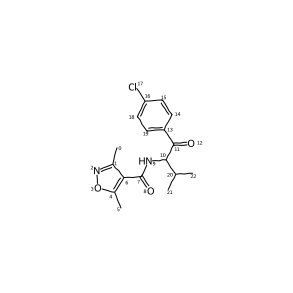 Cc1noc(C)c1C(=O)NC(C(=O)c1ccc(Cl)cc1)C(C)C